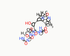 CCn1c(-c2cccnc2[C@H](C)OC)c2c3cc(ccc31)-c1cc(O)cc(c1)C[C@H](NC(=O)[C@H](C(C)C)N1CO[C@]3(CCN(C(=O)[C@H]4CN4)C3)C1=O)C(=O)N1CCC[C@H](N1)C(=O)OCC(C)(C)C2